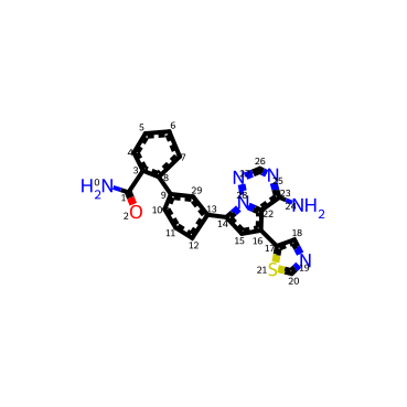 NC(=O)c1ccccc1-c1cccc(-c2cc(-c3cncs3)c3c(N)ncnn23)c1